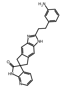 Nc1cccc(CCc2nc3cc4c(cc3[nH]2)CC2(C4)C(=O)Nc3ncccc32)c1